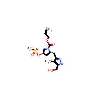 C=CCOC(=O)N1C[C@H](OS(C)(=O)=O)C[C@H]1Cc1n[nH]c(CO)c1C